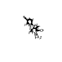 N#Cc1ccc(-n2ncc(C(N)=O)c2C(F)(F)F)nc1